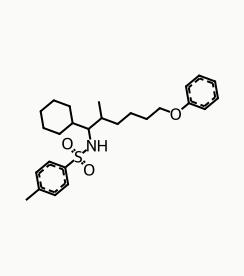 Cc1ccc(S(=O)(=O)NC(C(C)CCCCOc2ccccc2)C2CCCCC2)cc1